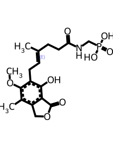 COc1c(C)c2c(c(O)c1C/C=C(\C)CCC(=O)NCP(=O)(O)O)C(=O)OC2